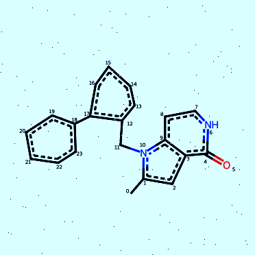 Cc1cc2c(=O)[nH]ccc2n1Cc1ccccc1-c1ccccc1